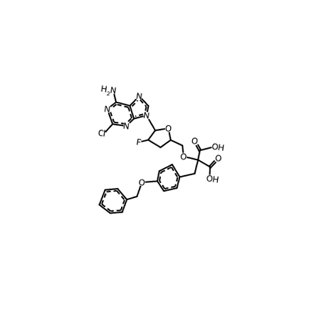 Nc1nc(Cl)nc2c1ncn2C1OC(COC(Cc2ccc(OCc3ccccc3)cc2)(C(=O)O)C(=O)O)CC1F